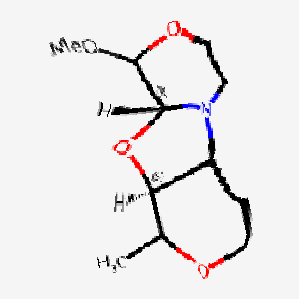 COC1OCCN2C3CCOC(C)[C@H]3O[C@H]12